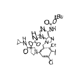 CCc1c(I)c(Cl)cc(N2CC[C@](OC(N)=O)(C(=O)NC3CC3)C2)c1Cn1cnc2c(NC(=O)OC(C)(C)C)ncnc21